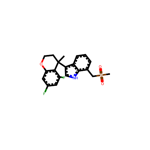 CC1(c2c[nH]c3c(CS(C)(=O)=O)cccc23)CCOc2cc(F)cc(F)c21